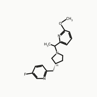 COc1cccc(C(C)N2CC[C@H](Cc3ccc(F)cn3)C2)n1